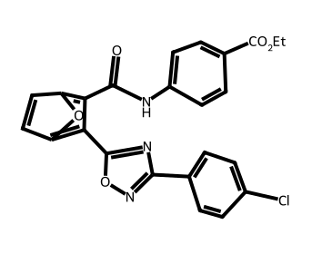 CCOC(=O)c1ccc(NC(=O)c2c(-c3nc(-c4ccc(Cl)cc4)no3)c3ccc2o3)cc1